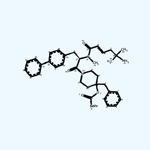 CNC(=O)OC1(Cc2ccccc2)CCN(C(=O)[C@@H](Cc2ccc(-c3ccccc3)cc2)N(C)C(=O)/C=C/CC(C)(C)N)CC1